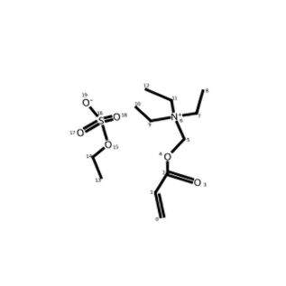 C=CC(=O)OC[N+](CC)(CC)CC.CCOS(=O)(=O)[O-]